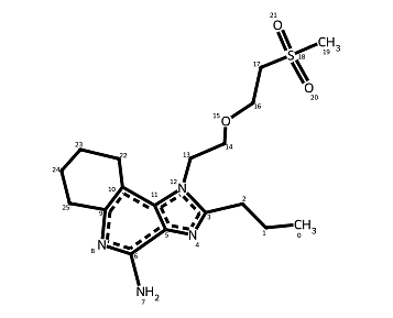 CCCc1nc2c(N)nc3c(c2n1CCOCCS(C)(=O)=O)CCCC3